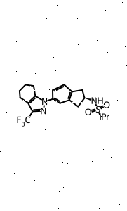 CC(C)S(=O)(=O)N[C@@H]1Cc2ccc(-n3nc(C(F)(F)F)c4c3CCCC4)cc2C1